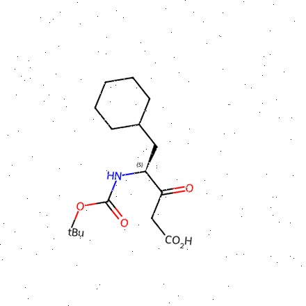 CC(C)(C)OC(=O)N[C@@H](CC1CCCCC1)C(=O)CC(=O)O